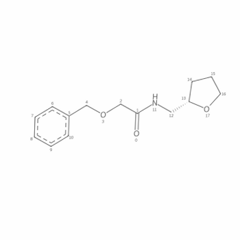 O=C(COCc1ccccc1)NC[C@@H]1CCCO1